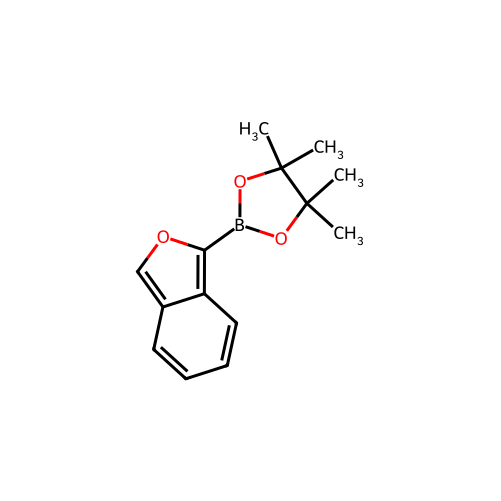 CC1(C)OB(c2occ3ccccc23)OC1(C)C